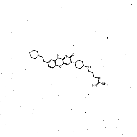 N=C(N)NCCCN[C@H]1CC[C@H](n2cc3c(nc2=O)Nc2cc(CCN4CCOCC4)ccc2O3)CC1